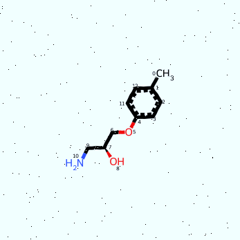 Cc1ccc(OC[C@@H](O)CN)cc1